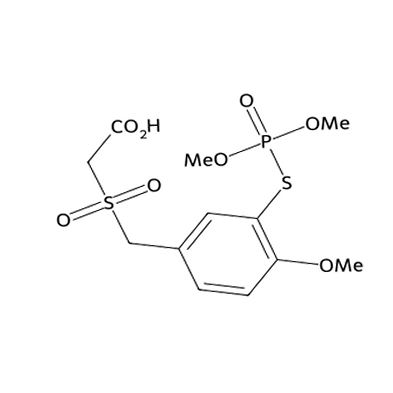 COc1ccc(CS(=O)(=O)CC(=O)O)cc1SP(=O)(OC)OC